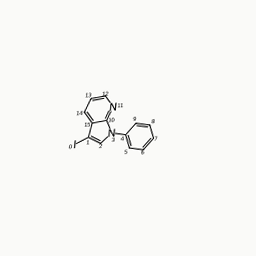 Ic1cn(-c2ccccc2)c2ncccc12